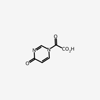 O=C(O)C(=O)n1ccc(=O)nc1